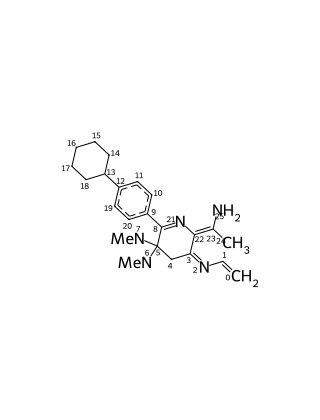 C=C/N=C1/CC(NC)(NC)C(c2ccc(C3CCCCC3)cc2)=N/C1=C(/C)N